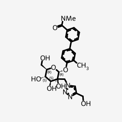 CNC(=O)c1cccc(-c2ccc(O[C@H]3O[C@H](CO)[C@@H](O)[C@H](O)[C@@]3(O)Cn3cc(CO)nn3)c(C)c2)c1